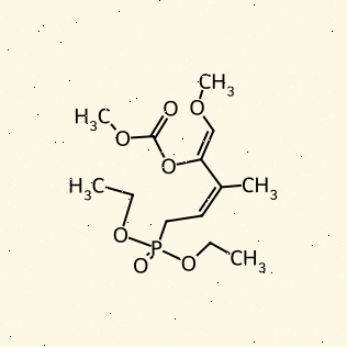 CCOP(=O)(CC=C(C)C(=COC)OC(=O)OC)OCC